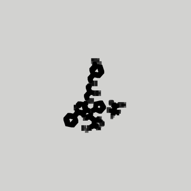 Nc1cccc(CNCC(O)CNc2cnc(-c3ccccc3)c3nc(-c4nonc4N)n(C4CCCC4)c23)c1.O=C(O)C(F)(F)F